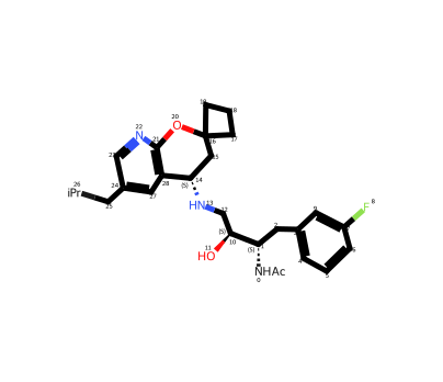 CC(=O)N[C@@H](Cc1cccc(F)c1)[C@@H](O)CN[C@H]1CC2(CCC2)Oc2ncc(CC(C)C)cc21